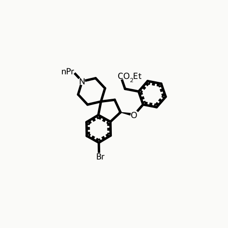 CCCN1CCC2(CC1)C[C@@H](Oc1ccccc1CC(=O)OCC)c1cc(Br)ccc12